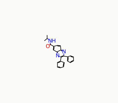 CC(C)NC(=O)c1ccc2nc(-c3ccccc3)c(-c3ccccc3)nc2c1